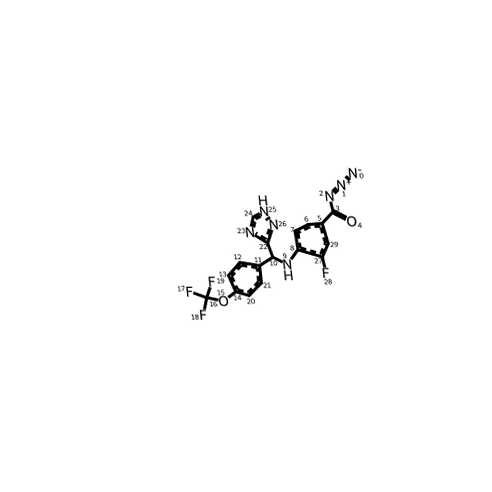 [N-]=[N+]=NC(=O)c1ccc(NC(c2ccc(OC(F)(F)F)cc2)c2nc[nH]n2)c(F)c1